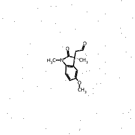 COc1ccc2c(c1)[C@](C)(CC=O)C(=O)N2C